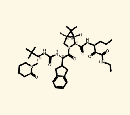 CCCC(NC(=O)[C@@H]1[C@@H]2[C@H](CN1C(=O)[C@@H](NC(=O)N[C@H](CN1CCCCC1=O)C(C)(C)C)C1Cc3ccccc3C1)C2(C)C)C(=O)C(=O)NCC